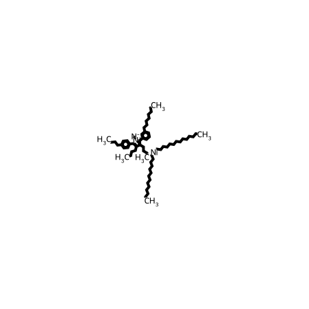 CCCCCCCCCCCCC[CH2][Ni][CH2]CCCCCCCCCCCCC.CCCCCCCCc1cccc(C2=C(CCCC)C(CCCC)=C(c3ccc(CCCC)cc3)[N+]2=[N-])c1